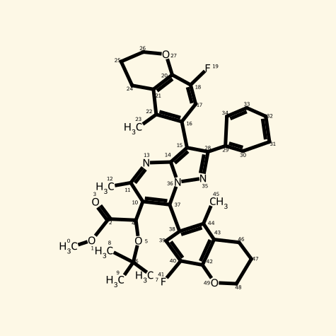 COC(=O)C(OC(C)(C)C)c1c(C)nc2c(-c3cc(F)c4c(c3C)CCCO4)c(-c3ccccc3)nn2c1-c1cc(F)c2c(c1C)CCCO2